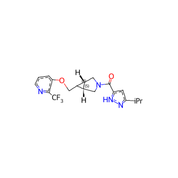 CC(C)c1cc(C(=O)N2C[C@@H]3C(COc4cccnc4C(F)(F)F)[C@@H]3C2)[nH]n1